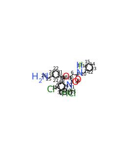 CC(C)(C)CN1C(=O)[C@H](CC(=O)NCc2ccccc2F)O[C@@H](c2cccc(CN)c2)c2cc(Cl)ccc21.Cl